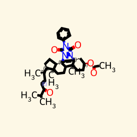 CC(=O)O[C@H]1CC[C@]2(C)C3CC[C@@]4(C)C(CC[C@@H]4[C@H](C)/C=C/C(=O)C(C)C)[C@]34C=C[C@@]2(C1)n1c(=O)n(-c2ccccc2)c(=O)n14